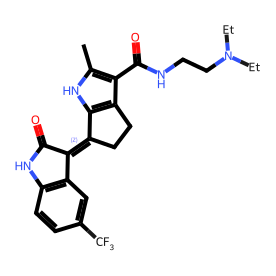 CCN(CC)CCNC(=O)c1c(C)[nH]c2c1CC/C2=C1/C(=O)Nc2ccc(C(F)(F)F)cc21